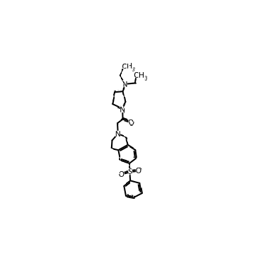 CCN(CC)C1CCN(C(=O)CN2CCc3cc(S(=O)(=O)c4ccccc4)ccc3C2)C1